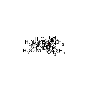 CCOC(=O)[C@H](CC(C)C)N(C)P(=O)(OCC(OC)C(O)C1(O)C(C)C1/C=N\c1c(N)nc(N)nc1OC)N(C)[C@@H](CC(C)C)C(=O)OCC